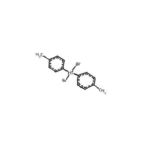 Cc1cc[c]([Hf]([Br])([Br])[c]2ccc(C)cc2)cc1